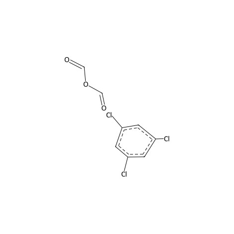 Clc1cc(Cl)cc(Cl)c1.O=COC=O